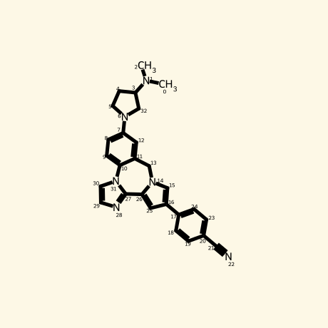 CN(C)C1CCN(c2ccc3c(c2)Cn2cc(-c4ccc(C#N)cc4)cc2-c2nccn2-3)C1